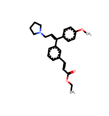 CCOC(=O)/C=C/c1cccc(/C(=C\CN2CCCC2)c2ccc(OC)cc2)c1